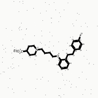 CCOC(=O)C1CCN(CCCCOc2ccccc2CCc2ccc(F)cc2)CC1